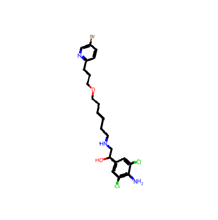 Nc1c(Cl)cc(C(O)CNCCCCCCOCCCc2ccc(Br)cn2)cc1Cl